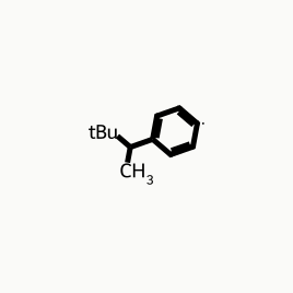 CC(c1cc[c]cc1)C(C)(C)C